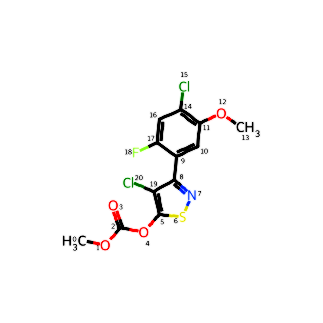 COC(=O)Oc1snc(-c2cc(OC)c(Cl)cc2F)c1Cl